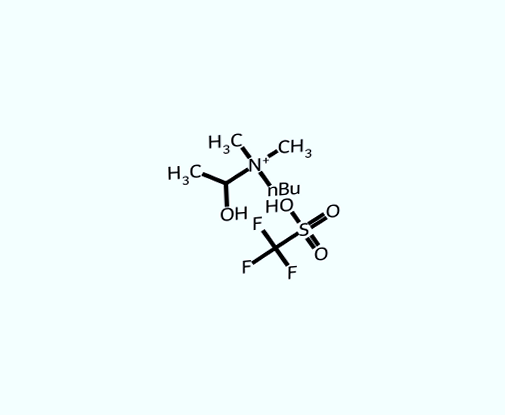 CCCC[N+](C)(C)C(C)O.O=S(=O)(O)C(F)(F)F